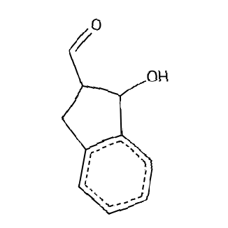 O=CC1Cc2ccccc2C1O